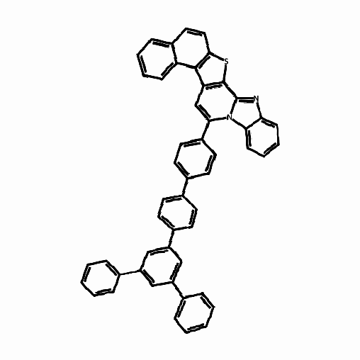 c1ccc(-c2cc(-c3ccccc3)cc(-c3ccc(-c4ccc(-c5cc6c(sc7ccc8ccccc8c76)c6nc7ccccc7n56)cc4)cc3)c2)cc1